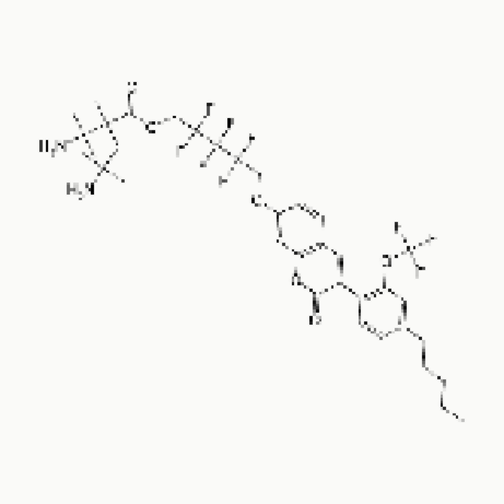 CCCCCc1ccc(-c2cc3ccc(OCC(F)(F)C(F)(F)C(F)(F)COC(=O)C(C)(CC(C)(C)N)C(C)(C)N)cc3oc2=O)c(OC(F)(F)F)c1